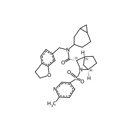 Cc1ccc(S(=O)(=O)N2[C@@H]3CC[C@@H](C3)[C@H]2C(=O)N(Cc2ccc3c(c2)OCC3)C2CCC3CC3C2)cn1